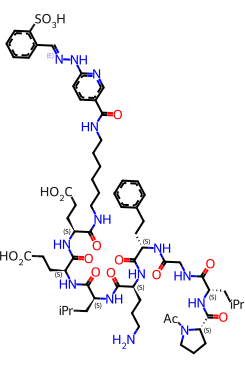 CC(=O)N1CCC[C@H]1C(=O)N[C@@H](CC(C)C)C(=O)NCC(=O)N[C@@H](CCc1ccccc1)C(=O)N[C@@H](CCCN)C(=O)N[C@@H](CC(C)C)C(=O)N[C@@H](CCC(=O)O)C(=O)N[C@@H](CCC(=O)O)C(=O)NCCCCCCNC(=O)c1ccc(N/N=C/c2ccccc2S(=O)(=O)O)nc1